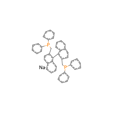 [Na].c1ccc(P(Cc2ccc3ccccc3c2-c2c(CP(c3ccccc3)c3ccccc3)ccc3ccccc23)c2ccccc2)cc1